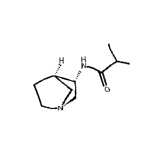 CC(C)C(=O)N[C@@H]1C[N@@]2CC[C@@H]1C2